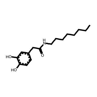 CCCCCCCCNC(=O)Cc1ccc(O)c(O)c1